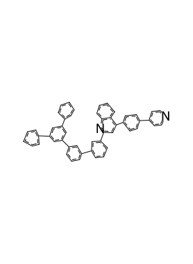 c1ccc(-c2cc(-c3ccccc3)cc(-c3cccc(-c4cccc(-c5cc(-c6ccc(-c7ccncc7)cc6)c6ccccc6n5)c4)c3)c2)cc1